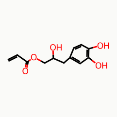 C=CC(=O)OCC(O)Cc1ccc(O)c(O)c1